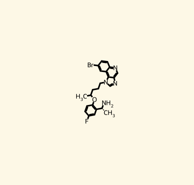 CC(CCCn1cnc2cnc3ccc(Br)cc3c21)Oc1ccc(F)cc1[C@@H](C)N